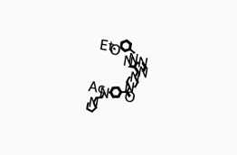 CCOc1cccc(Cn2ncc3c(N4CCN(C(=O)c5ccc(N(CCN6CCCC6)C(C)=O)cc5)CC4)ncnc32)c1